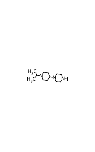 CC(C)N1CCC(N2CCN(I)CC2)CC1